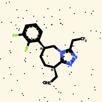 O=[C]C[C@H]1CC[C@@H](c2cccc(F)c2F)Cn2c(CC(F)(F)F)nnc21